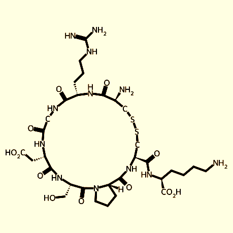 N=C(N)NCCC[C@@H]1NC(=O)[C@@H](N)CSSC[C@@H](C(=O)N[C@@H](CCCCN)C(=O)O)NC(=O)[C@@H]2CCCN2C(=O)[C@H](CO)NC(=O)[C@H](CC(=O)O)NC(=O)CNC1=O